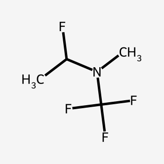 CC(F)N(C)C(F)(F)F